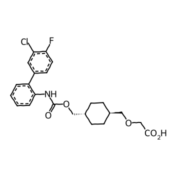 O=C(O)COC[C@H]1CC[C@H](COC(=O)Nc2ccccc2-c2ccc(F)c(Cl)c2)CC1